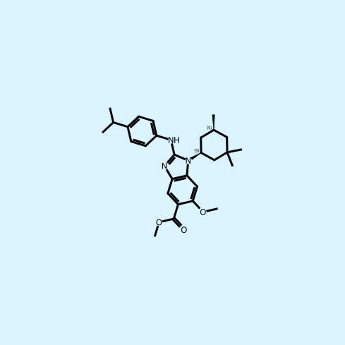 COC(=O)c1cc2nc(Nc3ccc(C(C)C)cc3)n([C@H]3C[C@@H](C)CC(C)(C)C3)c2cc1OC